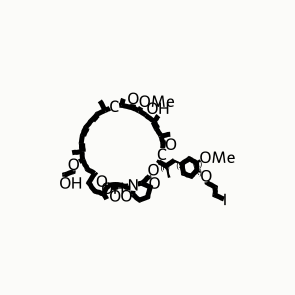 COC1C(=O)C(C)CC(C)C=CC=CC=C(C)C(OCCO)CC2CCC(C)C(O)(O2)C(=O)C(=O)N2CCCCC2C(=O)OC([C@H](C)C[C@@H]2CC[C@@H](OCCCI)[C@H](OC)C2)CC(=O)C(C)C=C(C)C1O